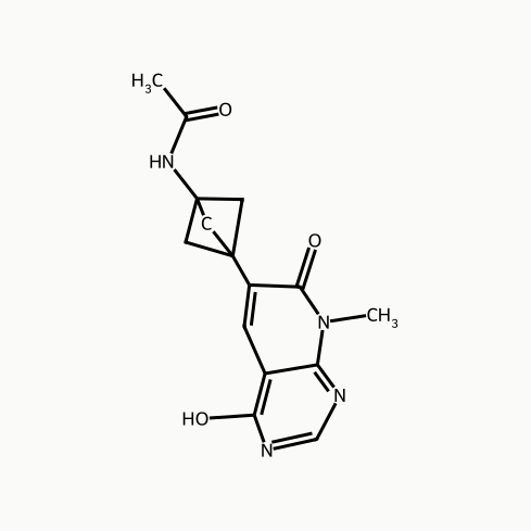 CC(=O)NC12CC(c3cc4c(O)ncnc4n(C)c3=O)(C1)C2